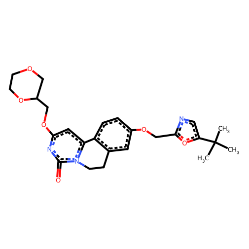 CC(C)(C)c1cnc(COc2ccc3c(c2)CCn2c-3cc(OCC3COCCO3)nc2=O)o1